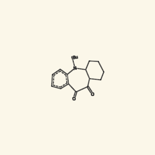 CC(C)(C)N1c2ccccc2C(=O)C(=O)C2CCCCC21